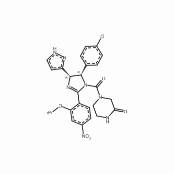 CC(C)Oc1cc([N+](=O)[O-])ccc1C1=N[C@@H](c2cc[nH]n2)[C@@H](c2ccc(Cl)cc2)N1C(=O)N1CCNC(=O)C1